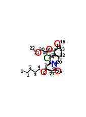 CCCCCOc1ccn(Cc2ccc(OC)c(OCCOC)c2Cl)c(=O)c1